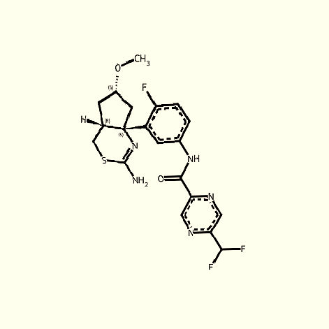 CO[C@H]1C[C@H]2CSC(N)=N[C@@]2(c2cc(NC(=O)c3cnc(C(F)F)cn3)ccc2F)C1